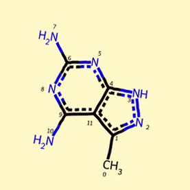 Cc1n[nH]c2nc(N)nc(N)c12